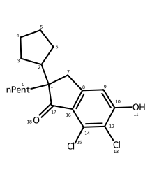 CCCCCC1(C2CCCC2)Cc2cc(O)c(Cl)c(Cl)c2C1=O